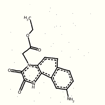 CCOC(=O)Cn1c(=O)c(=O)[nH]c2c3cc(N)ccc3ccc21